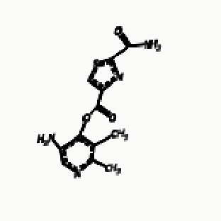 Cc1ncc(N)c(OC(=O)c2csc(C(N)=O)n2)c1C